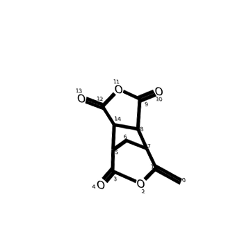 C=C1OC(=O)C2CC1C1C(=O)OC(=O)C21